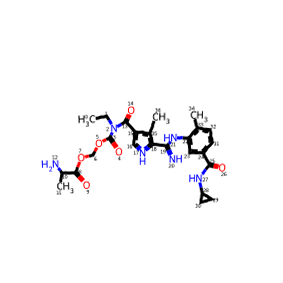 CCN(C(=O)OCOC(=O)C(C)N)C(=O)c1c[nH]c(C(=N)Nc2cc(C(=O)NC3CC3)ccc2C)c1C